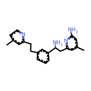 Cc1ccnc(CCc2cccc([C@@H](N)Cc3cc(C)cc(N)n3)c2)c1